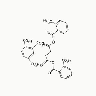 O=C(CCC(=O)OC(=O)c1ccccc1C(=O)O)OC(=O)c1ccccc1C(=O)O.O=C(O)c1ccc(C(=O)O)c(C(=O)O)c1